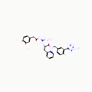 COc1ccc(CC(=O)N=C(N)NC(Cc2ccccc2)C(=O)NCc2ccc(F)c(-c3nn[nH]n3)c2)cc1OC